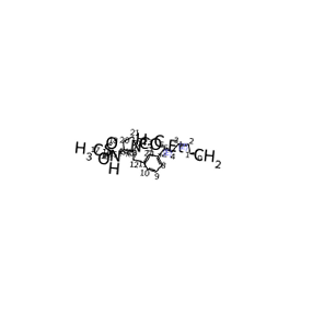 C=C/C=C\C=C(/C)c1cccc(C[C@H]2[C@@H](NS(C)(=O)=O)CCN2C(=O)OCC)c1